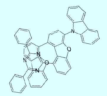 c1ccc(-c2nc(-c3ccccc3)nc(-c3cccc4oc5c(-n6c7ccccc7c7ccccc76)ccc(-c6cccc7c6oc6ccccc67)c5c34)n2)cc1